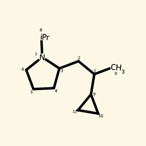 CC(CC1CCCN1C(C)C)C1CC1